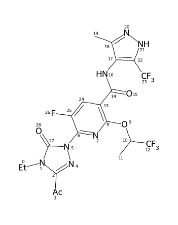 CCn1c(C(C)=O)nn(-c2nc(OC(C)C(F)(F)F)c(C(=O)Nc3c(C)n[nH]c3C(F)(F)F)cc2F)c1=O